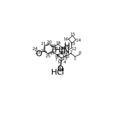 CCCC1CC(=O)C[C@]23CCN(CC4CCC4)[C@H](Cc4ccc(OC)cc42)[C@H]13.Cl